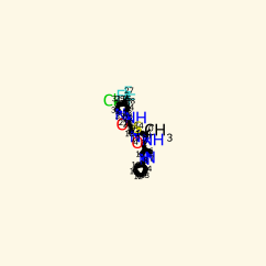 C[C@@H](NC(=O)c1cnn(-c2ccccc2)c1)c1ncc(C(=O)Nc2cc(C(F)(F)F)c(Cl)cn2)s1